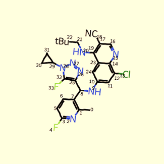 Cc1nc(F)ccc1[C@H](Nc1cc(Cl)c2ncc(C#N)c(NCC(C)(C)C)c2c1)c1nnn(C2CC2)c1F